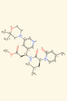 COC(=O)C[C@H](NC(=O)[C@H](CC(C)C)n1ccc(C)cc1=O)c1cncc(N2CCOC(C)(C)C2)c1